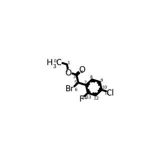 CCOC(=O)C(Br)c1ccc(Cl)cc1F